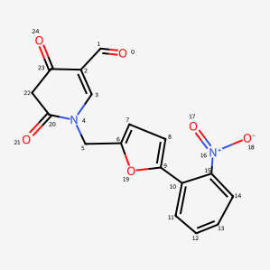 O=CC1=CN(Cc2ccc(-c3ccccc3[N+](=O)[O-])o2)C(=O)CC1=O